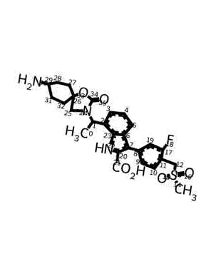 CC(c1cccc2c(-c3ccc(CS(C)(=O)=O)c(F)c3)c(C(=O)O)[nH]c12)N1CC2(CCC(N)CC2)OC1=O